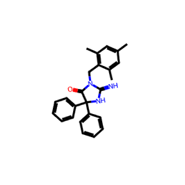 Cc1cc(C)c(CN2C(=N)NC(c3ccccc3)(c3ccccc3)C2=O)c(C)c1